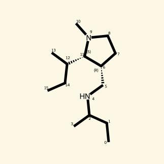 CCC(C)NC[C@H]1CCN(C)[C@H]1C(C)CC